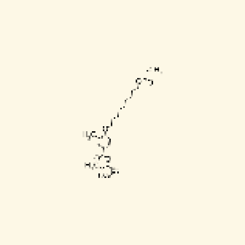 C=CC(=O)OCCCCCCCCCOc1ccc(C(=O)OC(CC)C(C)OC(C)=O)cc1C